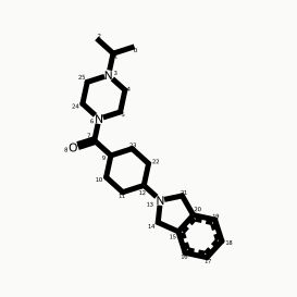 CC(C)N1CCN(C(=O)C2CCC(N3Cc4ccccc4C3)CC2)CC1